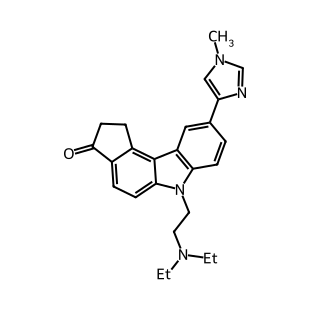 CCN(CC)CCn1c2ccc(-c3cn(C)cn3)cc2c2c3c(ccc21)C(=O)CC3